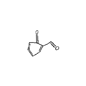 O=CC1=CC=C=CC1=O